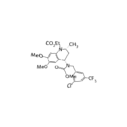 CCOC(=O)N1c2cc(OC)c(OC)cc2[C@@H](N(Cc2cc(Cl)cc(C(F)(F)F)c2)C(=O)OC)C[C@H]1C